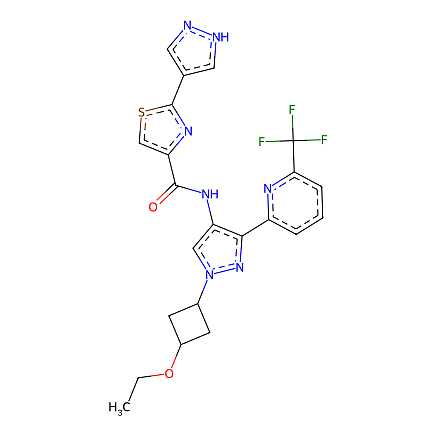 CCOC1CC(n2cc(NC(=O)c3csc(-c4cn[nH]c4)n3)c(-c3cccc(C(F)(F)F)n3)n2)C1